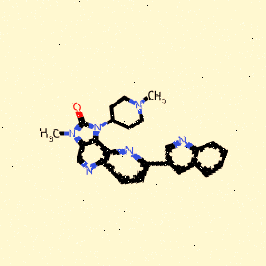 CN1CCC(n2c(=O)n(C)c3cnc4ccc(-c5cnc6ccccc6c5)nc4c32)CC1